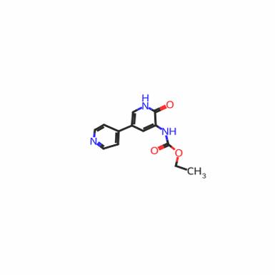 CCOC(=O)Nc1cc(-c2ccncc2)c[nH]c1=O